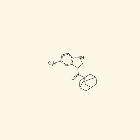 O=C(C1CNc2ccc([N+](=O)[O-])cc21)C12CC3CC(CC(C3)C1)C2